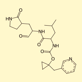 CC(C)CC(NC(=O)OC1(Cc2cccnc2)CC1)C(=O)NC(C=O)CC1CCNC1=O